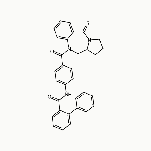 O=C(Nc1ccc(C(=O)N2CC3CCCN3C(=S)c3ccccc32)cc1)c1ccccc1-c1ccccc1